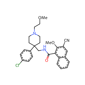 COCCN1CCC(CNC(=O)c2c(OC)c(C#N)cc3ccccc23)(c2ccc(Cl)cc2)CC1